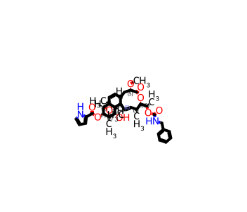 CO[C@H]1C[C@H]2C=C[C@]3(C)[C@H]4[C@H](O)[C@@H](C)[C@@H](OC(=O)c5ccc[nH]5)[C@@H]3O[C@@]24/C(C)=C/[C@@H](C)[C@@H]([C@@H](C)OC(=O)NCc2ccccc2)OC1=O